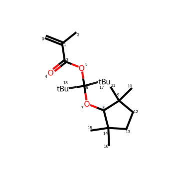 C=C(C)C(=O)OC(OC1C(C)(C)CCC1(C)C)(C(C)(C)C)C(C)(C)C